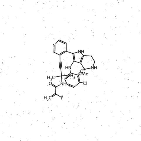 C=C(F)C(=O)NC(C)(C)C#Cc1cnccc1-c1[nH]c2c(c1Nc1cccc(Cl)c1OC)C(=O)NCC2